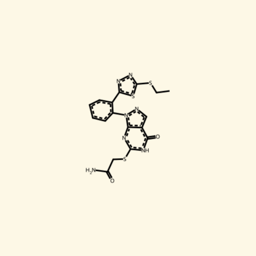 CCSc1nnc(-c2ccccc2-n2ncc3c(=O)[nH]c(SCC(N)=O)nc32)s1